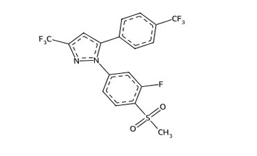 CS(=O)(=O)c1ccc(-n2nc(C(F)(F)F)cc2-c2ccc(C(F)(F)F)cc2)cc1F